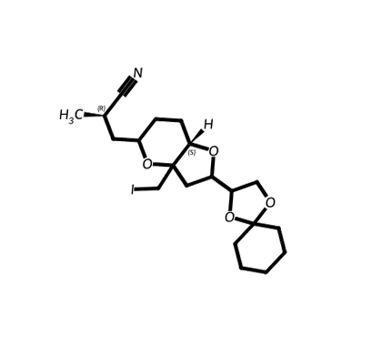 C[C@@H](C#N)CC1CC[C@@H]2OC(C3COC4(CCCCC4)O3)CC2(CI)O1